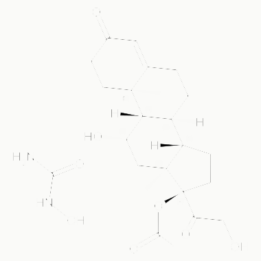 CC(=O)O[C@]1(C(=O)CO)CC[C@H]2[C@@H]3CCC4=CC(=O)CC[C@]4(C)[C@H]3[C@@H](O)C[C@@]21C.NC(=O)NO